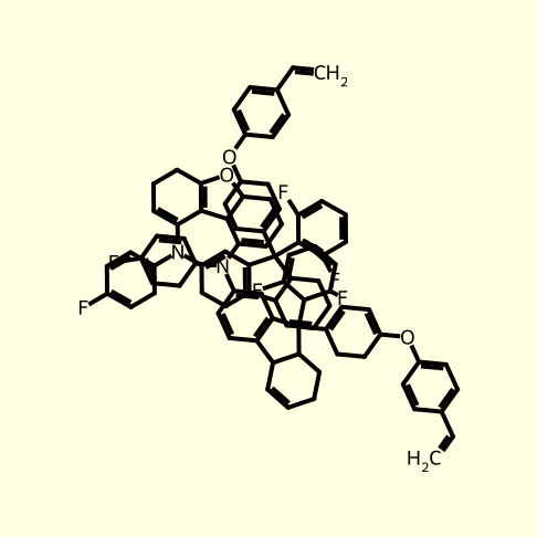 C=Cc1ccc(OC2=CC=C(C3(C4C(F)=CC=CC4F)c4cc(N(C5=CCCC6OC7=C(C(N(C8=CC9=C(CC8)C8C=CCCC8C9(C8=CCC(Oc9ccc(C=C)cc9)CC8)c8c(F)cccc8F)C8C=CC(F)=CC8)=CCC7)C56)C5C=CC(F)=CC5)ccc4C4C=CCCC43)CC2)cc1